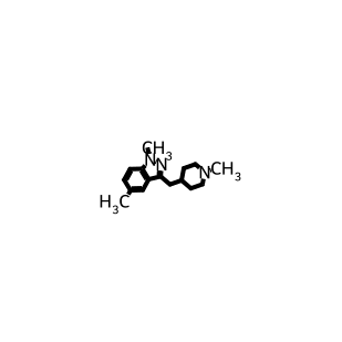 Cc1ccc2c(c1)c(CC1CCN(C)CC1)nn2C